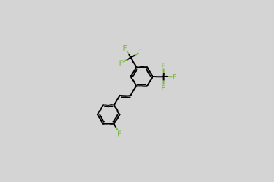 Fc1cccc(C=Cc2cc(C(F)(F)F)cc(C(F)(F)F)c2)c1